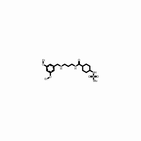 CCOc1cc(CNCCCNC(=O)C2CCC(NS(=O)(=O)C(C)(C)C)CC2)cc(OCC)c1